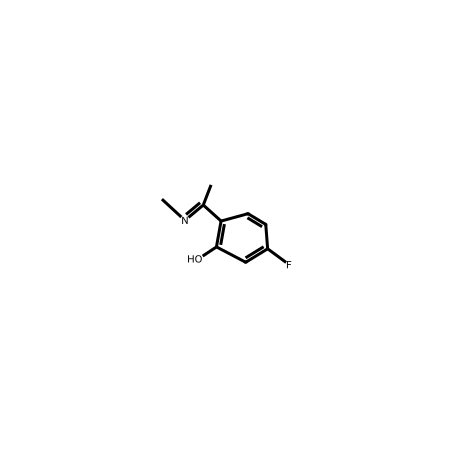 CN=C(C)c1ccc(F)cc1O